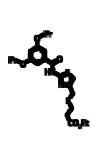 CCOC(=O)CCSCc1csc(NC(=O)c2cc(OC(C)C)cc(OC(C)C)c2)n1